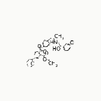 CCOC(=O)c1cc(C2CCCCC2)ccc1S(=O)(=O)c1ccc(C[C@@H](C)NC[C@@H](O)c2cccc(Cl)c2)cc1